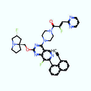 C#Cc1cccc2cccc(-c3ncc4c(N5CCN(C(=O)/C(F)=C/c6ncccn6)CC5)nc(OC[C@@]56CCCN5C[C@H](F)C6)nc4c3F)c12